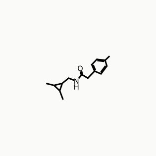 Cc1ccc(CC(=O)NCC2C(C)C2C)cc1